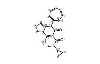 CN(C(=O)C1=C(O)c2cscc2C(C2=CC=CC=CN2)C1=O)C1CC1